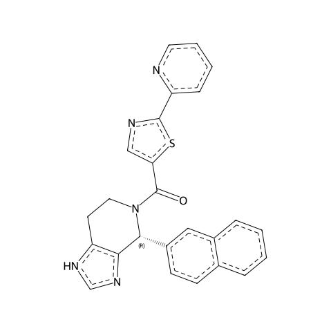 O=C(c1cnc(-c2ccccn2)s1)N1CCc2[nH]cnc2[C@H]1c1ccc2ccccc2c1